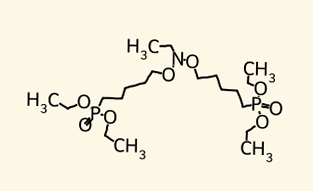 CCOP(=O)(CCCCCON(CC)OCCCCCP(=O)(OCC)OCC)OCC